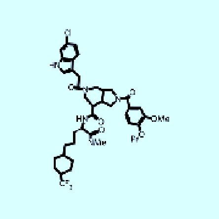 CNC(=O)[C@@H](CCCC1CCC(C(F)(F)F)CC1)NC(=O)C1CN(C(=O)Cc2c[nH]c3cc(Cl)ccc23)CC2CN(C(=O)c3ccc(OC(C)C)c(OC)c3)CC21